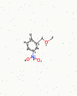 COCc1cc([N+](=O)[O-])ccc1C